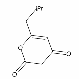 CC(C)CC1=CC(=O)CC(=O)O1